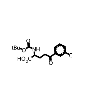 CC(C)(C)OC(=O)NC(CCC(=O)c1cccc(Cl)c1)C(=O)O